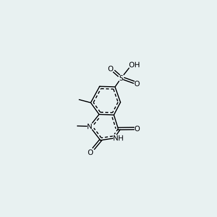 Cc1cc(S(=O)(=O)O)cc2c(=O)[nH]c(=O)n(C)c12